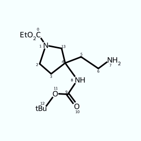 CCOC(=O)N1CCC(CCN)(NC(=O)OC(C)(C)C)C1